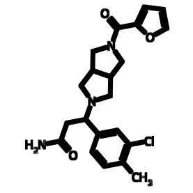 Cc1ccc(C(CC(N)=O)N2CC3CN(C(=O)c4ccco4)CC3C2)cc1Cl